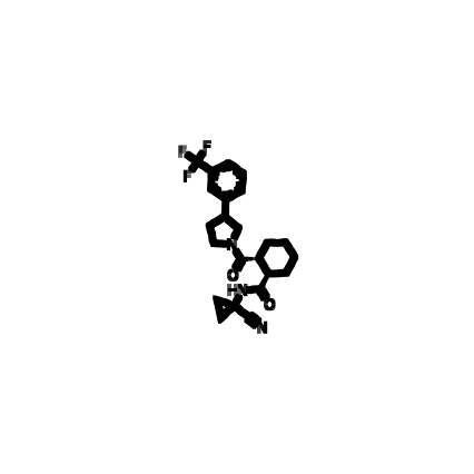 N#CC1(NC(=O)[C@@H]2CCCC[C@H]2C(=O)N2CCC(c3cccc(C(F)(F)F)c3)C2)CC1